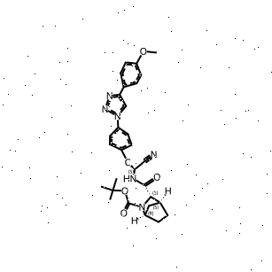 COc1ccc(-c2cn(-c3ccc(C[C@@H](C#N)NC(=O)[C@@H]4[C@H]5CC[C@H](C5)N4C(=O)OC(C)(C)C)cc3)nn2)cc1